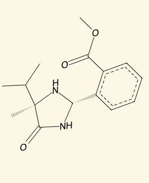 COC(=O)c1ccccc1[C@@H]1NC(=O)[C@@](C)(C(C)C)N1